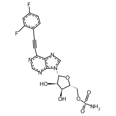 NS(=O)(=O)OC[C@H]1O[C@@H](n2cnc3c(C#Cc4ccc(F)cc4F)ncnc32)[C@H](O)[C@@H]1O